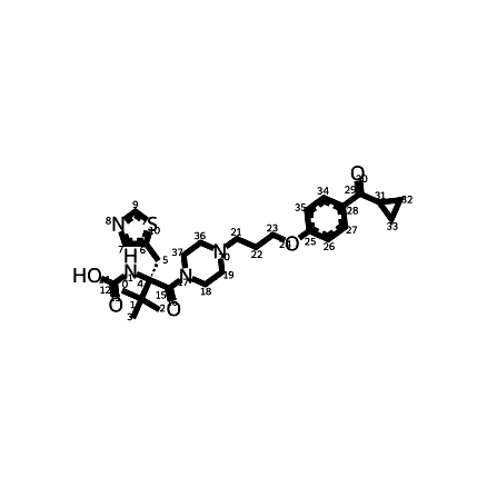 CC(C)(C)[C@@](Cc1cncs1)(NC(=O)O)C(=O)N1CCN(CCCOc2ccc(C(=O)C3CC3)cc2)CC1